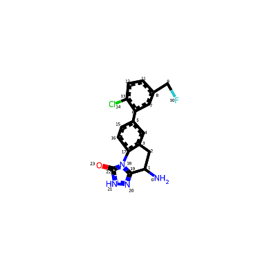 NC1Cc2cc(-c3cc(CF)ccc3Cl)ccc2-n2c1n[nH]c2=O